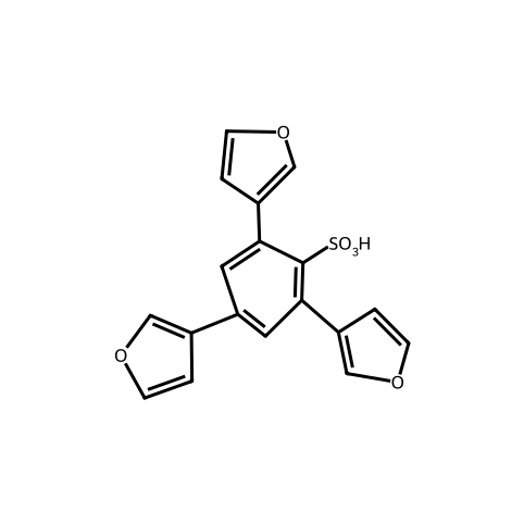 O=S(=O)(O)c1c(-c2ccoc2)cc(-c2ccoc2)cc1-c1ccoc1